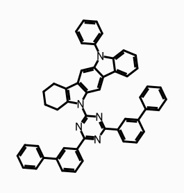 c1ccc(-c2cccc(-c3nc(-c4cccc(-c5ccccc5)c4)nc(-n4c5c(c6cc7c(cc64)c4ccccc4n7-c4ccccc4)CCCC5)n3)c2)cc1